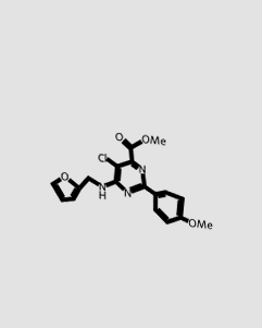 COC(=O)c1nc(-c2ccc(OC)cc2)nc(NCc2ccco2)c1Cl